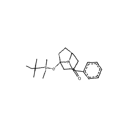 CC(C)(C)[Si](C)(C)OC12CCC(CC(=O)C1)N2Cc1ccccc1